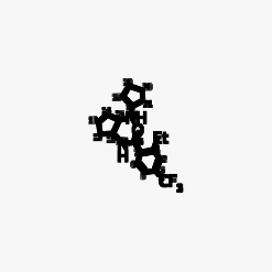 CCc1cc(C(F)(F)F)ccc1C(=O)NC1CCCC1NC1CCCC1